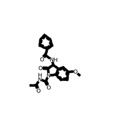 COc1ccc2c(c1)C(NC(=O)c1ccccc1)C(=O)N2C(=O)NC(C)=O